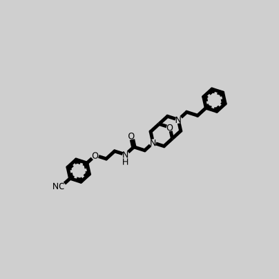 N#Cc1ccc(OCCNC(=O)CN2CC3CN(CCc4ccccc4)CC(C2)O3)cc1